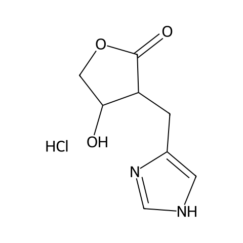 Cl.O=C1OCC(O)C1Cc1c[nH]cn1